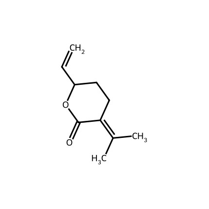 C=CC1CCC(=C(C)C)C(=O)O1